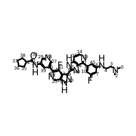 CN(C)CCNc1cc(F)cc(-c2nccc3[nH]c(-c4n[nH]c5cnc(-c6cncc(NC(=O)C7CCCC7)c6)c(F)c45)nc23)c1